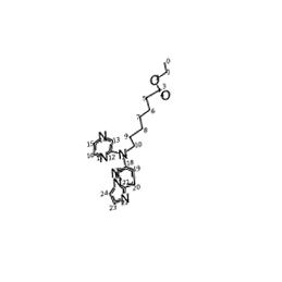 CCOC(=O)CCCCCCN(c1cnccn1)c1ccc2nccn2n1